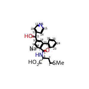 CSCC[C@H](NC(=O)c1ccc(C(O)c2ccncc2)cc1-c1ccccc1)C(=O)O.[Na]